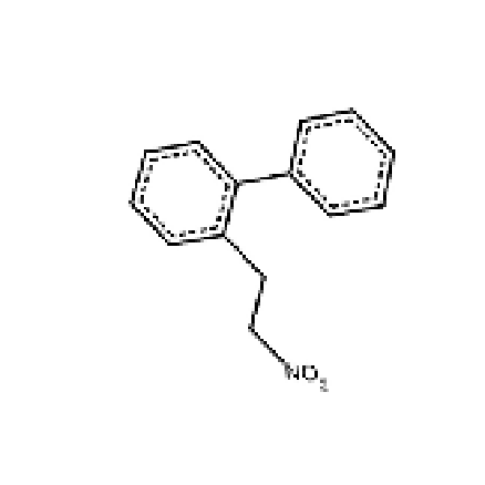 O=[N+]([O-])CCc1ccccc1-c1ccccc1